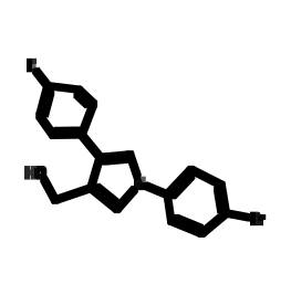 OCc1cn(-c2ccc(Br)cc2)cc1-c1ccc(F)cc1